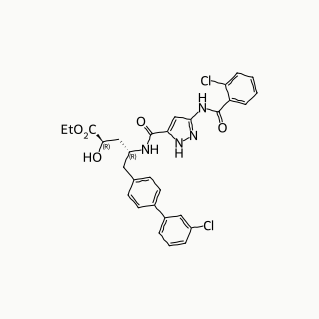 CCOC(=O)[C@H](O)C[C@@H](Cc1ccc(-c2cccc(Cl)c2)cc1)NC(=O)c1cc(NC(=O)c2ccccc2Cl)n[nH]1